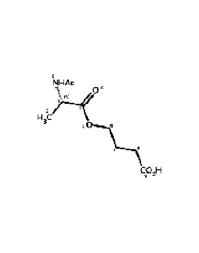 CC(=O)N[C@@H](C)C(=O)OCCCC(=O)O